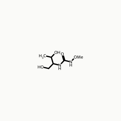 CONC(=O)NC(CO)C(C)O